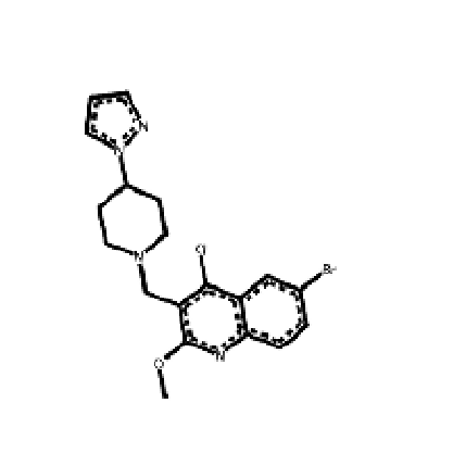 COc1nc2ccc(Br)cc2c(Cl)c1CN1CCC(n2cccn2)CC1